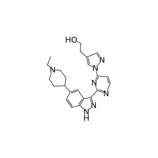 CCN1CCC(c2ccc3[nH]nc(-c4nccc(-n5cc(CCO)cn5)n4)c3c2)CC1